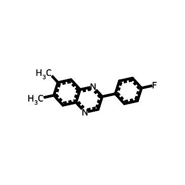 Cc1cc2ncc(-c3ccc(F)cc3)nc2cc1C